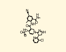 CNC(=O)c1cc(C#N)cc(C)c1NC(=O)C1=C(O[SH](=O)=O)C=CN(C2=NNCC2c2ncccc2Cl)C1